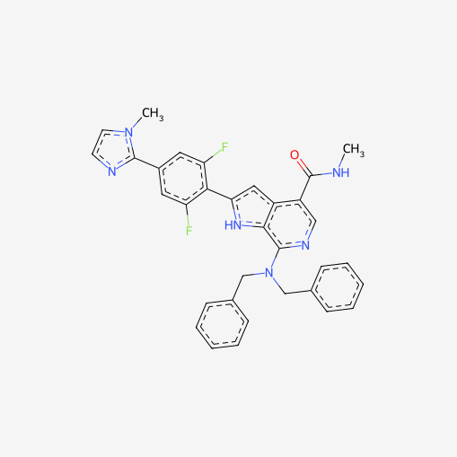 CNC(=O)c1cnc(N(Cc2ccccc2)Cc2ccccc2)c2[nH]c(-c3c(F)cc(-c4nccn4C)cc3F)cc12